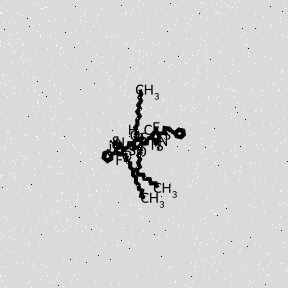 CCCCCCCCCCCCOc1c(F)c(-c2ccccc2)c2nsnc2c1-c1cc2c(OCCCCCCCCCCCC)c3sc(-c4c(C)c(F)c(-c5ccc(-c6ccccc6)s5)c5nsnc45)cc3c(OCCCCCCCCCCCC)c2s1